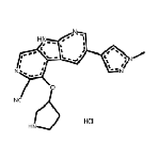 Cl.Cn1cc(-c2cnc3[nH]c4cnc(C#N)c(OC5CCNC5)c4c3c2)cn1